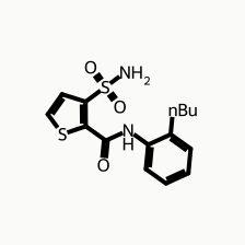 CCCCc1ccccc1NC(=O)c1sccc1S(N)(=O)=O